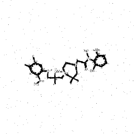 [2H]N(C(=O)CN1CCN(CC(C)(COc2cc(C)c(C)cc2OCC)OC)C(C)(C)C1)c1c(CC)cccc1C(C)C